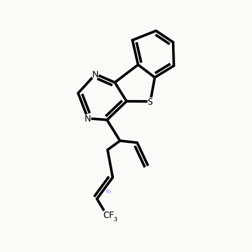 C=CC(C/C=C/C(F)(F)F)c1ncnc2c1sc1ccccc12